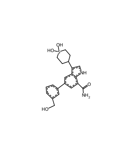 NC(=O)c1cc(-c2cccc(CO)c2)cc2c(C3CCS(O)(O)CC3)c[nH]c12